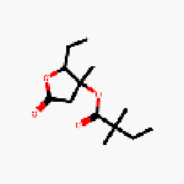 CCC1OC(=O)CC1(C)OC(=O)C(C)(C)CC